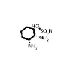 N[C@@H]1CCCC[C@@H]1N.O=S(=O)(O)O